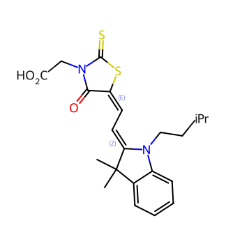 CC(C)CCN1/C(=C\C=C2\SC(=S)N(CC(=O)O)C2=O)C(C)(C)c2ccccc21